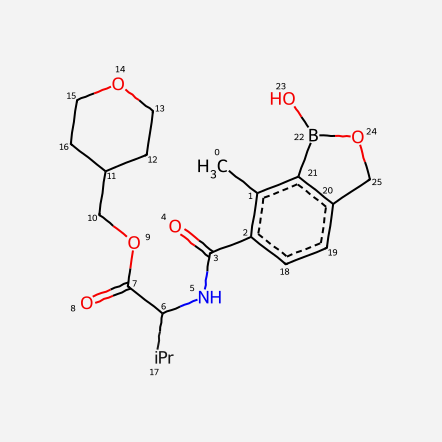 Cc1c(C(=O)NC(C(=O)OCC2CCOCC2)C(C)C)ccc2c1B(O)OC2